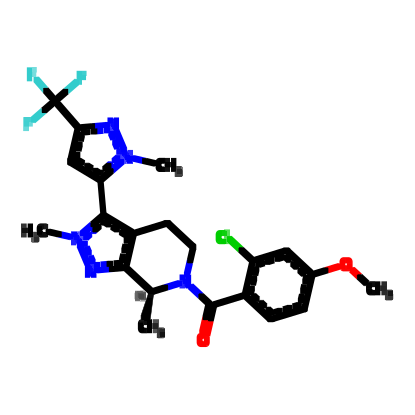 COc1ccc(C(=O)N2CCc3c(nn(C)c3-c3cc(C(F)(F)F)nn3C)[C@@H]2C)c(Cl)c1